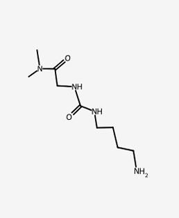 CN(C)C(=O)CNC(=O)NCCCCN